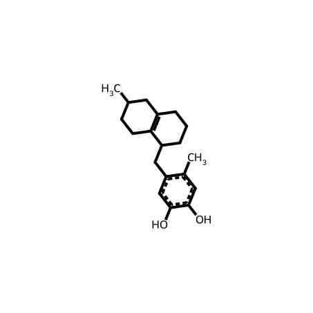 Cc1cc(O)c(O)cc1CC1CCCC2=C1CCC(C)C2